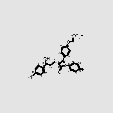 O=C(O)COc1ccc([C@@H]2[C@@H](CC[C@H](O)c3ccc(F)cc3)C(=O)N2c2ccc(F)cc2)cc1